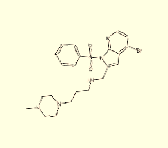 CN1CCN(CCCNCc2cc3c(Br)ccnc3n2S(=O)(=O)c2ccccc2)CC1